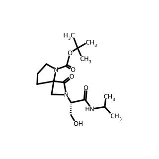 CC(C)NC(=O)[C@H](CO)N1CC2(CCCN2C(=O)OC(C)(C)C)C1=O